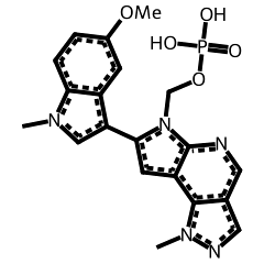 COc1ccc2c(c1)c(-c1cc3c4c(cnc3n1COP(=O)(O)O)cnn4C)cn2C